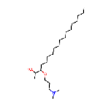 CCCCCCCCCCCCCCCC(OCCCN(C)C)C(C)O